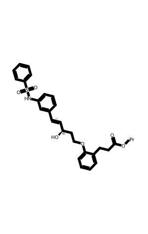 CC(C)OC(=O)CCc1ccccc1OCC[C@@H](O)/C=C/c1cccc(NS(=O)(=O)c2ccccc2)c1